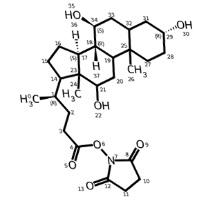 C[C@H](CCC(=O)ON1C(=O)CCC1=O)C1CC[C@H]2[C@H]3C(CC(O)C12C)C1(C)CC[C@@H](O)CC1C[C@@H]3O